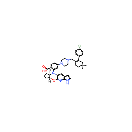 CC1(C)CCC(CN2CCN(c3ccc(C(=O)O)c(N4c5cc6cc[nH]c6nc5O[C@@H]5CCC[C@H]54)c3)CC2)=C(c2ccc(Cl)cc2)C1